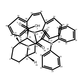 O=C(O)[C@@H]1[C@H]2CCC[C@@H](CN1C(=O)N(c1ccccc1)c1ccccc1)N2C(=O)N1c2ccccc2C=Cc2ccccc21